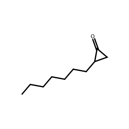 CCCCCCCC1CC1=O